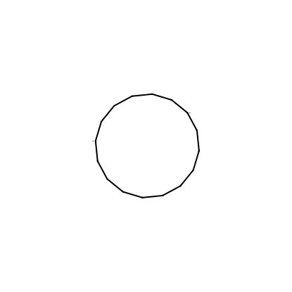 [CH]1CCCCC[CH]CCCCCCCCC1